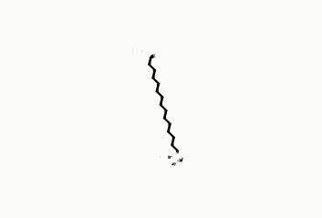 O=C(O)CCCCCCCCCCCCCC[Si](Cl)(Cl)Cl